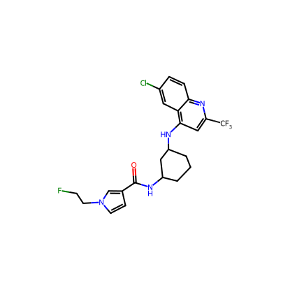 O=C(NC1CCCC(Nc2cc(C(F)(F)F)nc3ccc(Cl)cc23)C1)c1ccn(CCF)c1